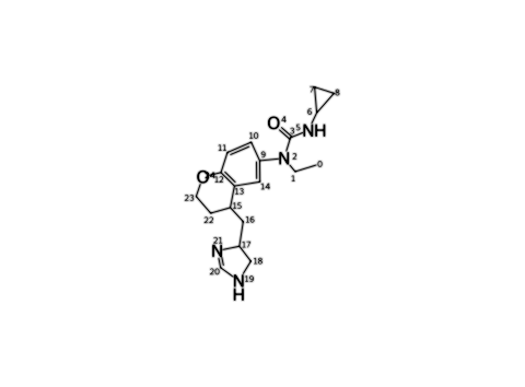 CCN(C(=O)NC1CC1)c1ccc2c(c1)C(CC1CNC=N1)CCO2